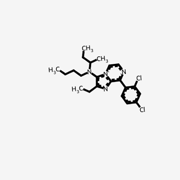 CCCCN(c1c(CC)nc2c(-c3ccc(Cl)cc3Cl)nccn12)C(C)CC